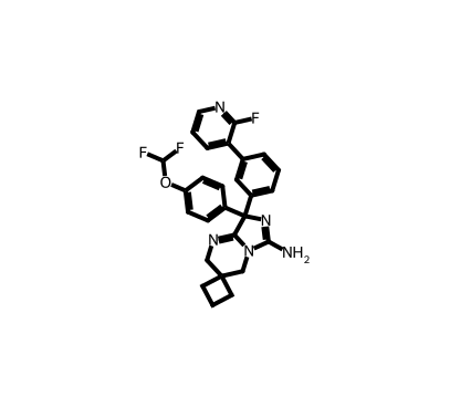 NC1=NC(c2ccc(OC(F)F)cc2)(c2cccc(-c3cccnc3F)c2)C2=NCC3(CCC3)CN12